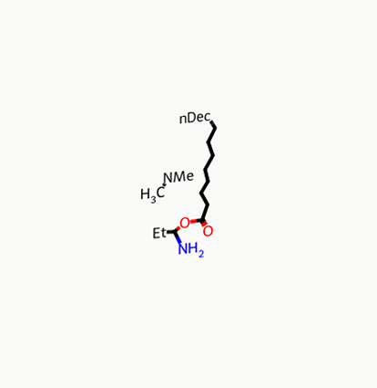 CCCCCCCCCCCCCCCCCC(=O)OC(N)CC.CNC